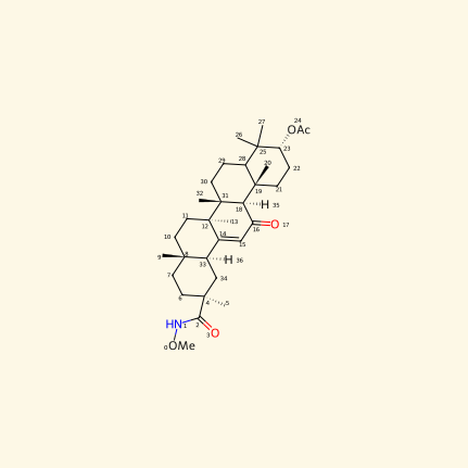 CONC(=O)[C@@]1(C)CC[C@]2(C)CC[C@]3(C)C(=CC(=O)[C@@H]4[C@@]5(C)CC[C@@H](OC(C)=O)C(C)(C)C5CC[C@]43C)[C@H]2C1